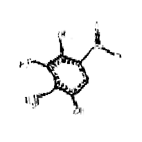 Cc1c([N+](=O)[O-])cc(O)c(N)c1C